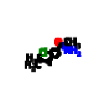 CC(C)C1CC1c1ccc(C(=O)N(C)N)cc1Cl